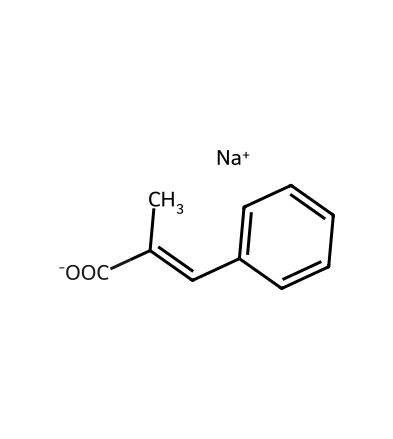 CC(=Cc1ccccc1)C(=O)[O-].[Na+]